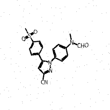 CN(C=O)c1ccc(-n2nc(C#N)cc2-c2ccc(S(C)(=O)=O)cc2)cc1